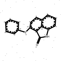 O=C1Nc2cccc3ccc(Sc4ccccc4)c1c23